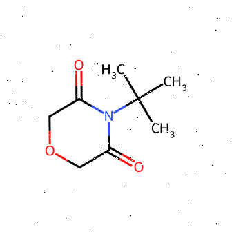 CC(C)(C)N1C(=O)COCC1=O